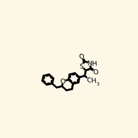 CC(c1ccc2c(c1)CCC(Cc1ccccc1)O2)C1SC(=O)NC1=O